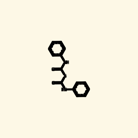 O=C(Nc1ccccc1)SC(=O)Nc1ccccc1